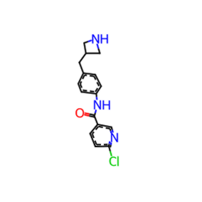 O=C(Nc1ccc(CC2CNC2)cc1)c1ccc(Cl)nc1